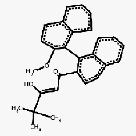 COc1ccc2ccccc2c1-c1c(C(=O)/C=C(\O)C(C)(C)C)ccc2ccccc12